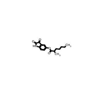 CCCCCC(C)C(=O)Oc1ccc2c(c1)C(=O)C(=O)N2